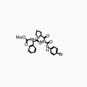 COC(=O)N[C@@H](C(=O)N1CCCC1C(=O)NC(=O)Nc1ccc(Br)cc1)c1ccccc1